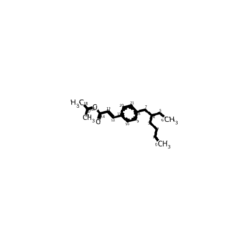 CCCCC(CC)Cc1ccc(C=CC(=O)OC(C)C)cc1